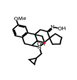 COc1ccc2c(c1)C13CCN(CC4CC4)C(C2)C1(O)CC1(CCCC1)/C(=N\O)C3